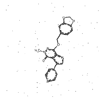 Cn1nc(OCc2ccc3c(c2)OCO3)c2scc(-c3ccncc3)c2c1=O